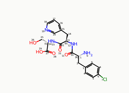 N[C@H](Cc1ccc(Cl)cc1)C(=O)N[C@H](Cc1cccnc1)C(=O)N[C@@H](CO)C(=O)O